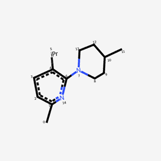 Cc1ccc(C(C)C)c(N2CCC(C)CC2)n1